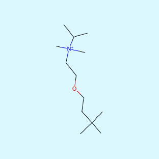 CC(C)[N+](C)(C)CCOCCC(C)(C)C